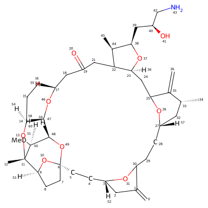 C=C1C[C@@H]2CC[C@]34CC[C@H](O3)[C@]3(C)O[C@H]5CC[C@H](CC(=O)CC6[C@H](CC7O[C@@H](CCC1O2)C[C@@H](C)C7=C)O[C@H](C[C@H](O)CN)[C@@H]6C)O[C@@H]5[C@H](O4)[C@@H]3OC